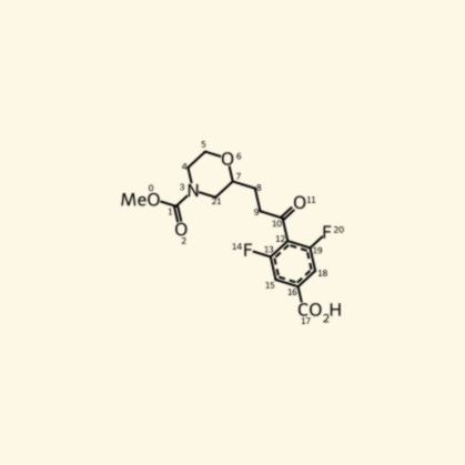 COC(=O)N1CCOC(CCC(=O)c2c(F)cc(C(=O)O)cc2F)C1